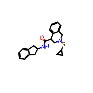 O=C(NC1Cc2ccccc2C1)C1CN(SC2CC2)Cc2ccccc21